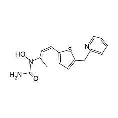 CC(/C=C\c1ccc(Cc2ccccn2)s1)N(O)C(N)=O